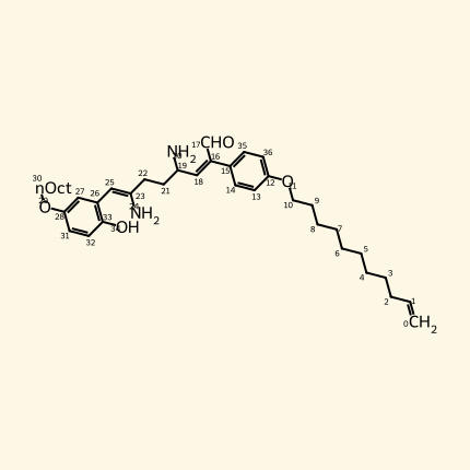 C=CCCCCCCCCCOc1ccc(C(C=O)=CC(N)CCC(N)=Cc2cc(OCCCCCCCC)ccc2O)cc1